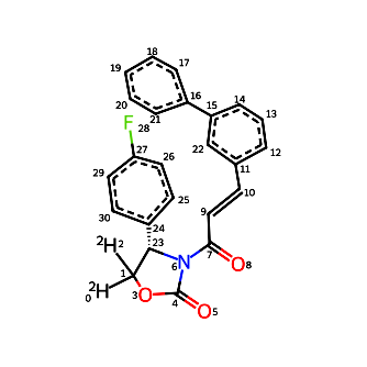 [2H]C1([2H])OC(=O)N(C(=O)/C=C/c2cccc(-c3ccccc3)c2)[C@H]1c1ccc(F)cc1